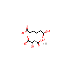 O=C(O)CC(O)C(=O)O.O=C(O)CCCCC(=O)O.[KH]